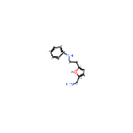 NCc1ccc(CCNc2ccccc2)o1